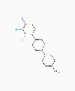 CC1CCC(C2CCC(C3CCC(I)C(F)C3F)CC2)CC1